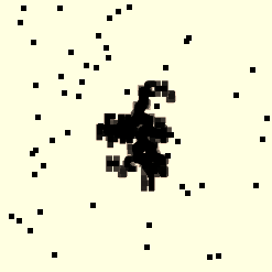 CCCCc1cc(C(F)(F)F)c(-c2cc(C)c3[nH]ncc3c2)n2nc(C(F)(F)F)nc12